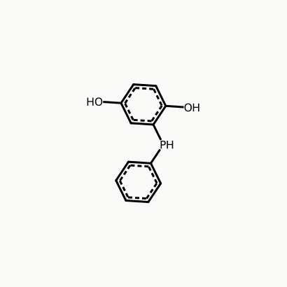 Oc1ccc(O)c(Pc2ccccc2)c1